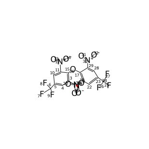 O=[N+]([O-])c1cc(C(F)(F)F)cc([N+](=O)[O-])c1Oc1c([N+](=O)[O-])cc(C(F)(F)F)cc1[N+](=O)[O-]